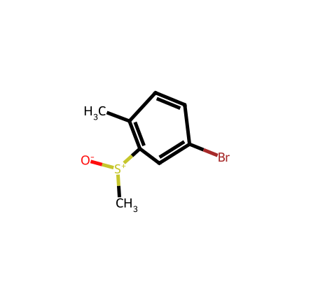 Cc1ccc(Br)cc1[S+](C)[O-]